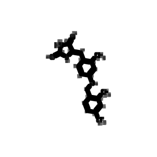 Cc1cc(OCc2ccc(C(F)(F)F)cc2C(F)(F)F)ccc1C=C1SC(=O)NC1=O